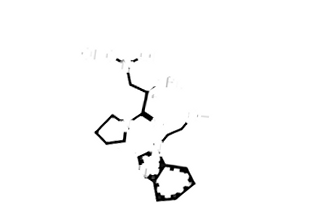 CCCC[C@H](CN(O)C=O)C(=O)N1CCC[C@H]1c1nc2ccccc2n1CCO